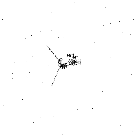 CC(CCOP(=O)(O)O)[N+](C)(C)C.CCCCCCCCCCCCCCCCCC(=O)OCC(COP(=O)(OCCC#N)OCCCC[N+](C)(C)C)OC(=O)CCCCCCCCCCCCCCCCC.Cl